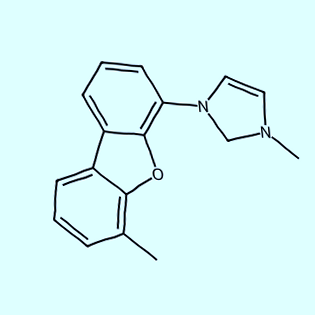 Cc1cccc2c1oc1c(N3C=CN(C)C3)cccc12